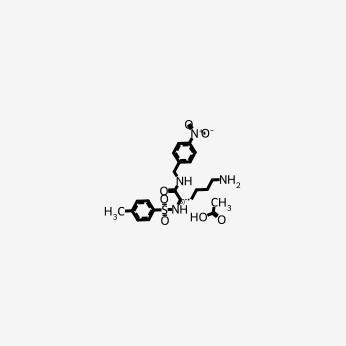 CC(=O)O.Cc1ccc(S(=O)(=O)N[C@@H](CCCCN)C(=O)NCc2ccc([N+](=O)[O-])cc2)cc1